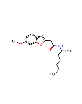 CCCCC[C@H](C)NC(=O)Cc1cc2ccc(OC)cc2o1